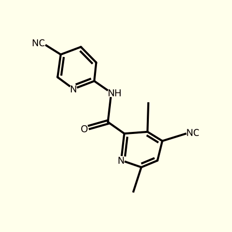 [C-]#[N+]c1cc(C)nc(C(=O)Nc2ccc(C#N)cn2)c1C